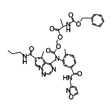 CCCNC(=O)c1cn2ncnc(N(C(=O)OCOC(=O)C(C)NC(=O)OCc3ccccc3)c3cc(C(=O)Nc4ccon4)ccc3C)c2c1C